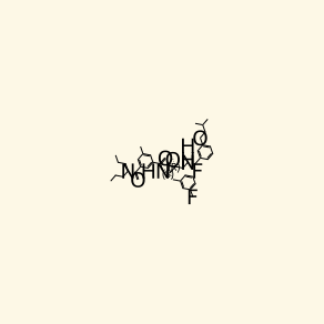 CCCN(CCC)C(=O)c1cc(C)cc(C(=O)N[C@@H](Cc2cc(F)cc(F)c2)[C@H](O)CNCc2cccc(OCC(C)C)c2)c1